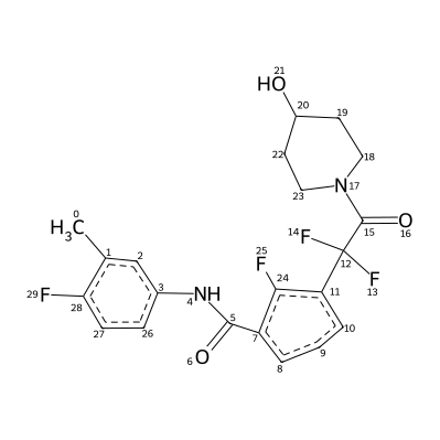 Cc1cc(NC(=O)c2cccc(C(F)(F)C(=O)N3CCC(O)CC3)c2F)ccc1F